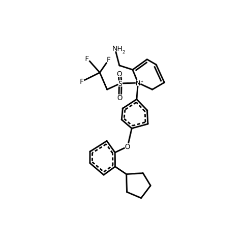 NCC1=CC=CC[N+]1(c1ccc(Oc2ccccc2C2CCCC2)cc1)S(=O)(=O)CC(F)(F)F